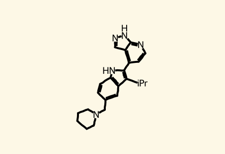 CC(C)c1c(-c2ccnc3[nH]ncc23)[nH]c2ccc(CN3CCCCC3)cc12